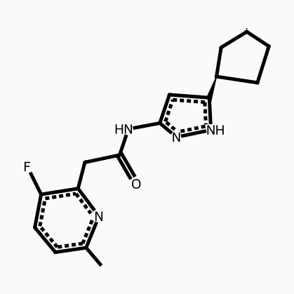 Cc1ccc(F)c(CC(=O)Nc2cc([C@H]3C[CH]CC3)[nH]n2)n1